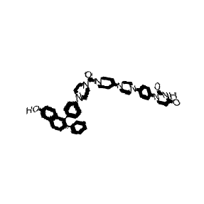 O=C(N1CCC(N2CCN(c3ccc(-n4ccc(=O)[nH]c4=O)cc3)CC2)CC1)N1CCN(c2ccc([C@@H]3c4ccc(O)cc4CC[C@@H]3c3ccccc3)cc2)CC1